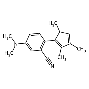 CC1=CC(C)C(c2ccc(N(C)C)cc2C#N)=C1C